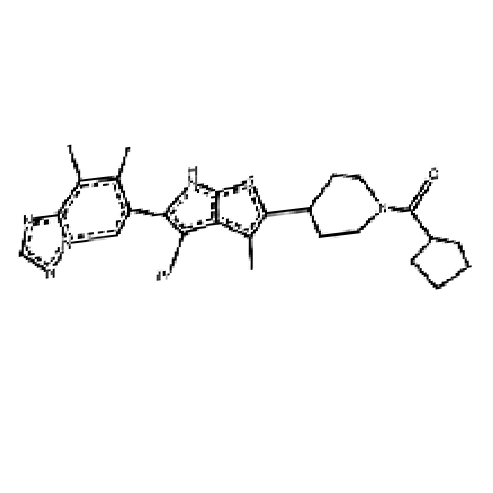 Cc1c(-c2[nH]c3sc(C4CCN(C(=O)C5CCCC5)CC4)c(C)c3c2C(C)C)cn2ncnc2c1C